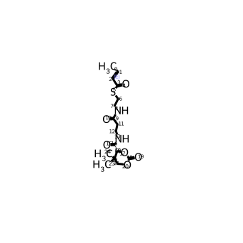 C/C=C/C(=O)SCCNC(=O)CCNC(=O)[C@@H]1OC(=O)OCC1(C)C